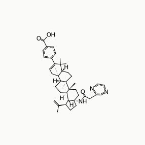 C=C(C)[C@@H]1CC[C@]2(NC(=O)Cc3cnccn3)CC[C@]3(C)[C@H](CC[C@@H]4[C@@]5(C)CC=C(c6ccc(C(=O)O)cc6)C(C)(C)[C@@H]5CC[C@]43C)[C@@H]12